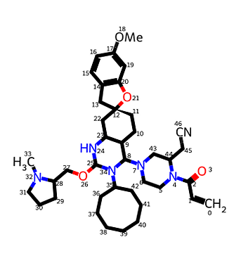 C=CC(=O)N1CCN(C2C3CC[C@]4(Cc5ccc(OC)cc5O4)CC3NC(OCC3CCCN3C)N2C2CCCCCCC2)CC1CC#N